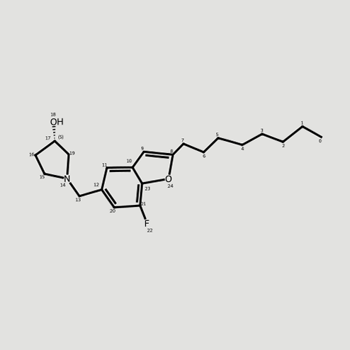 CCCCCCCCc1cc2cc(CN3CC[C@H](O)C3)cc(F)c2o1